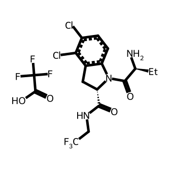 CC[C@H](N)C(=O)N1c2ccc(Cl)c(Cl)c2C[C@H]1C(=O)NCC(F)(F)F.O=C(O)C(F)(F)F